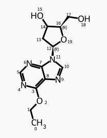 CCOc1ncnc2c1ncn2[C@H]1CC(O)[C@@H](CO)O1